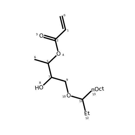 C=CC(=O)OC(C)C(O)COC(CC)CCCCCCCC